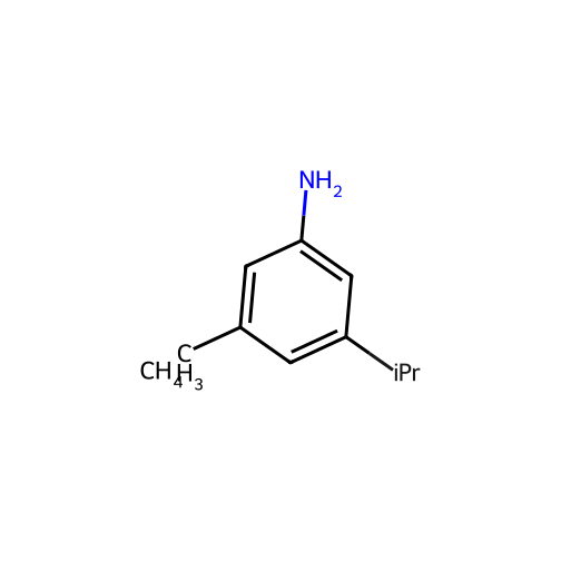 C.Cc1cc(N)cc(C(C)C)c1